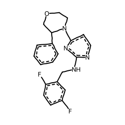 Fc1ccc(F)c(CNc2nccc(N3CCOCC3c3ccccc3)n2)c1